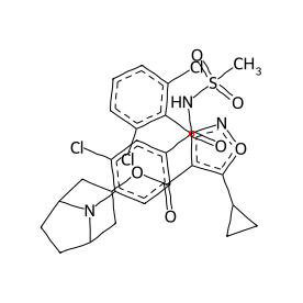 CS(=O)(=O)NC(=O)c1ccc(N2C3CCC2CC(OC(=O)c2c(-c4c(Cl)cccc4Cl)noc2C2CC2)C3)c(Cl)c1